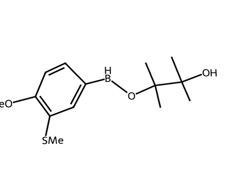 COc1ccc(BOC(C)(C)C(C)(C)O)cc1SC